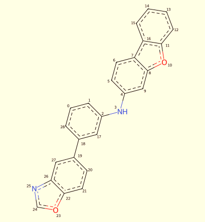 c1cc(Nc2ccc3c(c2)oc2ccccc23)cc(-c2ccc3ocnc3c2)c1